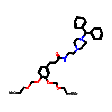 COCCOCOc1ccc(C=CC(=O)NCCN2CCN(C(c3ccccc3)c3ccccc3)CC2)cc1OCOCCOC